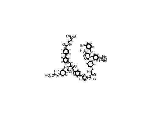 CC(C)(C)OC(=O)NC[C@H]1CC[C@H](C(=O)N(c2ccc(-c3nnn[nH]3)cc2)[C@@H](Cc2cccc(Br)c2)C(N)=O)CC1.CCN(CC)CCNC(=O)c1ccc(-c2cccc(C[C@H](NC(=O)[C@H]3CC[C@H](CNC(=O)O)CC3)C(=O)Nc3ccc(-c4nnn[nH]4)cc3)c2)cc1